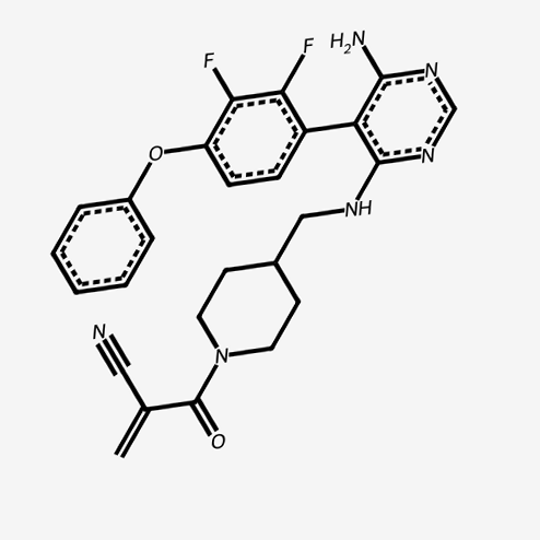 C=C(C#N)C(=O)N1CCC(CNc2ncnc(N)c2-c2ccc(Oc3ccccc3)c(F)c2F)CC1